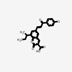 CCC(C)c1cc(C=CC(=O)c2ccc(Cl)cc2)cc2cc(C(=O)O)c(=O)oc12